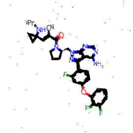 CC(C)NC1(C=C(C#N)C(=O)N2CCC[C@@H]2Cn2nc(-c3ccc(Oc4cccc(F)c4F)cc3F)c3c(N)ncnc32)CC1